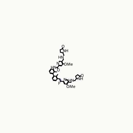 COc1cc(C(=O)Nc2cccc(-c3cccc(/C=C(\F)c4cc(OC)c(CNCC5CCC(=O)N5)cn4)c3C)c2C)ncc1CNCC1CCC(=O)N1